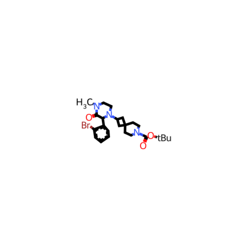 CN1CCN(C2CC3(CCN(C(=O)OC(C)(C)C)CC3)C2)C(c2ccccc2Br)C1=O